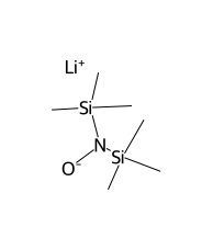 C[Si](C)(C)N([O-])[Si](C)(C)C.[Li+]